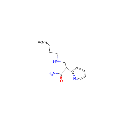 CC(=O)NCCCNCC(C(N)=O)c1ccccn1